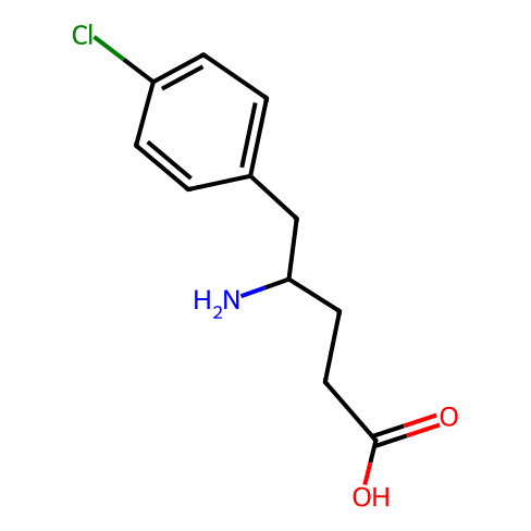 NC(CCC(=O)O)Cc1ccc(Cl)cc1